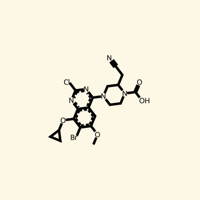 COc1cc2c(N3CCN(C(=O)O)C(CC#N)C3)nc(Cl)nc2c(OC2CC2)c1Br